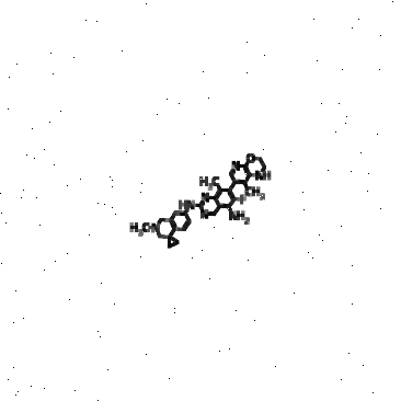 Cc1c(-c2c(F)c(N)c3cnc(Nc4ccc5c(c4)CN(C)CC54CC4)nc3c2C)cnc2c1NCCO2